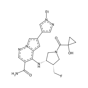 CCn1cc(-c2cc3c(N[C@@H]4CN(C(=O)C5(O)CC5)C[C@@H]4CF)c(C(N)=O)cnn3c2)cn1